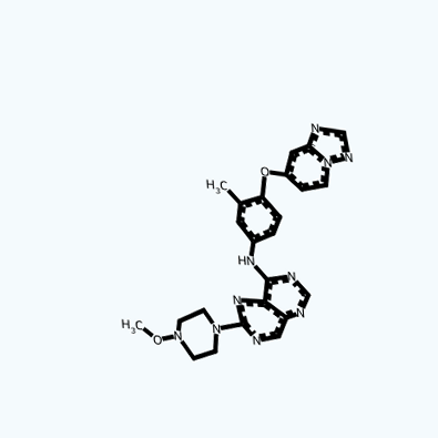 CON1CCN(c2ncc3ncnc(Nc4ccc(Oc5ccn6ncnc6c5)c(C)c4)c3n2)CC1